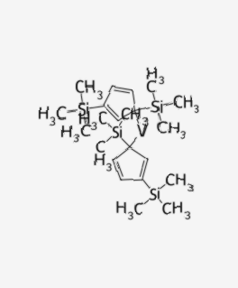 C[Si](C)(C)C1=C[C]([V][C]2([Si](C)(C)C)C=CC([Si](C)(C)C)=C2)([Si](C)(C)C)C=C1